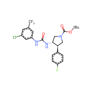 CC(C)(C)OC(=O)N1C[C@@H](NC(=O)Nc2cc(Cl)cc(C(F)(F)F)c2)[C@H](c2ccc(F)cc2)C1